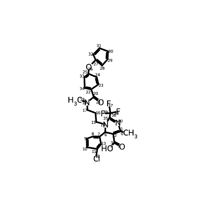 CC1=C(C(=O)O)C(c2cccc(Cl)c2)N(CCCN(C)C(=O)c2ccc(Oc3ccccc3)cc2)C(C(F)(F)F)=N1